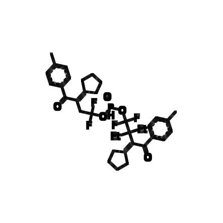 CCC(CC)(C(C(=O)c1ccc(C)cc1)=C1CCCC1)C(F)(F)O[PH](=O)OC(F)(F)CC(C(=O)c1ccc(C)cc1)=C1CCCC1